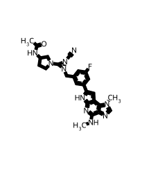 CNc1nc2[nH]c(-c3cc(F)cc(CN4C(N5CCC(NC(C)=O)C5)N4C#N)c3)cc2c2c1ncn2C